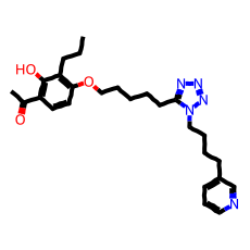 CCCc1c(OCCCCCc2nnnn2CCCCc2cccnc2)ccc(C(C)=O)c1O